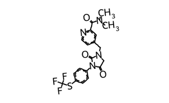 CN(C)C(=O)c1cc(CN2CC(=O)N(c3ccc(SC(F)(F)F)cc3)C2=O)ccn1